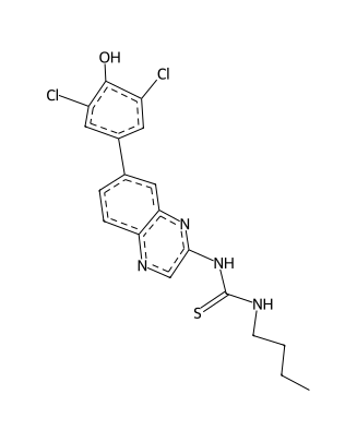 CCCCNC(=S)Nc1cnc2ccc(-c3cc(Cl)c(O)c(Cl)c3)cc2n1